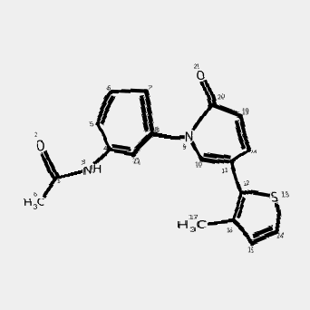 CC(=O)Nc1cccc(-n2cc(-c3sccc3C)ccc2=O)c1